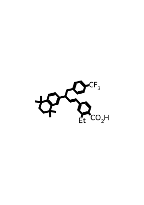 CCc1cc(C=CC(Cc2ccc(C(F)(F)F)cc2)c2ccc3c(c2)C(C)(C)CCC3(C)C)ccc1C(=O)O